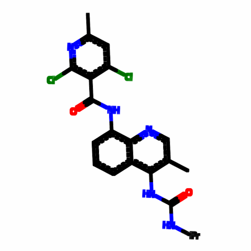 Cc1cc(Cl)c(C(=O)Nc2cccc3c(NC(=O)NC(C)C)c(C)cnc23)c(Cl)n1